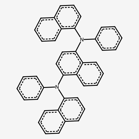 c1ccc(N(c2cccc3ccccc23)c2ccc(N(c3ccccc3)c3cccc4ccccc34)c3ccccc23)cc1